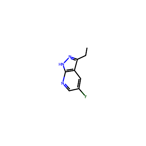 CCc1n[nH]c2ncc(F)cc12